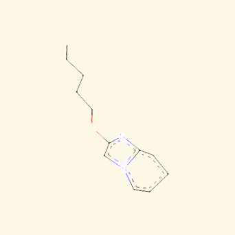 CCCCCOc1cn2ccccc2n1